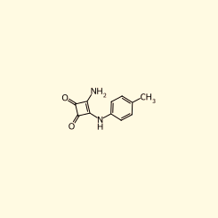 Cc1ccc(Nc2c(N)c(=O)c2=O)cc1